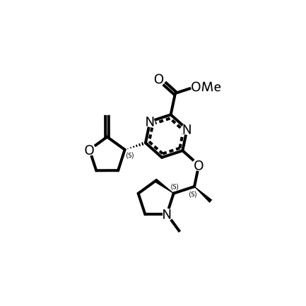 C=C1OCC[C@H]1c1cc(O[C@@H](C)[C@@H]2CCCN2C)nc(C(=O)OC)n1